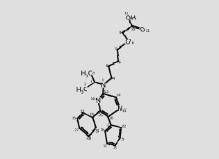 CC(C)N(CCCCOCC(=O)O)c1cnc(-c2ccccc2)c(C2C=CC=CC2)n1